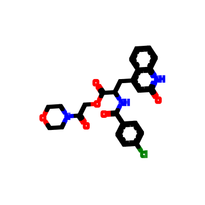 O=C(NC(Cc1cc(=O)[nH]c2ccccc12)C(=O)OCC(=O)N1CCOCC1)c1ccc(Cl)cc1